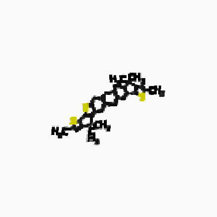 Cc1cc2c(s1)-c1cc3cc4cc5c6c(sc5cc4cc3cc1C2(C)C)-c1sc(C)cc1C6(C)C